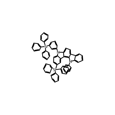 c1ccc(-n2c3ccccc3c3ccc4c(c5cc([Si](c6ccccc6)(c6ccccc6)c6ccccc6)ccc5n4-c4cccc([Si](c5ccccc5)(c5ccccc5)c5ccccc5)c4)c32)cc1